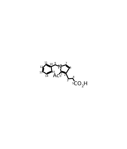 CC(=O)c1c(CCC(=O)O)ccn1Cc1ccccc1